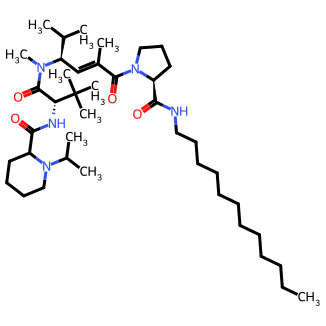 CCCCCCCCCCCCNC(=O)[C@@H]1CCCN1C(=O)/C(C)=C/[C@H](C(C)C)N(C)C(=O)[C@@H](NC(=O)C1CCCCN1C(C)C)C(C)(C)C